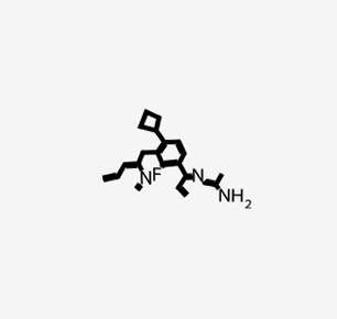 C=C/C=C(/Cc1c(C2CCC2)ccc(/C(C=C)=N/C=C(\C)N)c1F)N=C